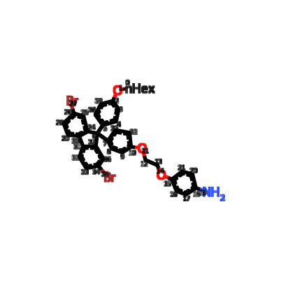 CCCCCCOc1ccc(C2(c3ccc(OCCOc4ccc(N)cc4)cc3)c3cc(Br)ccc3-c3ccc(Br)cc32)cc1